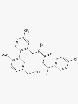 CCN(Cc1cc(C(F)(F)F)ccc1-c1cc(CC(=O)O)ccc1OC)C(=O)OC(C)c1ccc(Cl)cc1